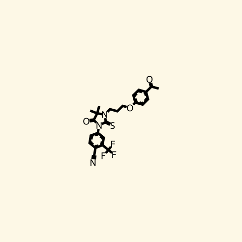 CC(=O)c1ccc(OCCCN2C(=S)N(c3ccc(C#N)c(C(F)(F)F)c3)C(=O)C2(C)C)cc1